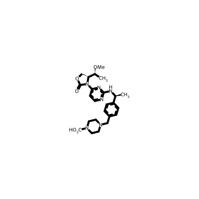 CO[C@H](C)[C@H]1COC(=O)N1c1ccnc(N[C@@H](C)c2ccc(CN3CCN(C(=O)O)CC3)cc2)n1